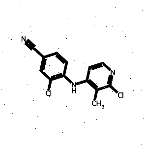 Cc1c(Nc2ccc(C#N)cc2Cl)ccnc1Cl